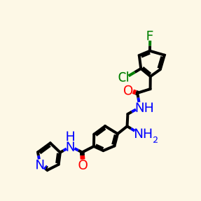 NC(CNC(=O)Cc1ccc(F)cc1Cl)c1ccc(C(=O)Nc2ccncc2)cc1